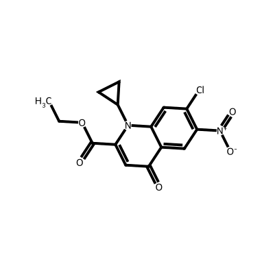 CCOC(=O)c1cc(=O)c2cc([N+](=O)[O-])c(Cl)cc2n1C1CC1